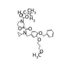 COCCCOc1cc(CN(C(=O)[C@H]2CN(C(=O)OC(C)(C)C)CCO2)C2CC2)ccc1OCc1ccccc1